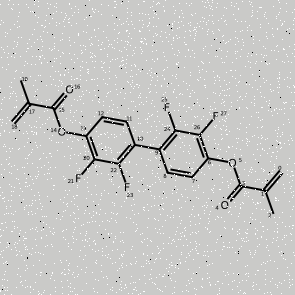 C=C(C)C(=O)Oc1ccc(-c2ccc(OC(=O)C(=C)C)c(F)c2F)c(F)c1F